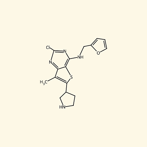 Cc1c(C2CCNC2)sc2c(NCc3ccco3)nc(Cl)nc12